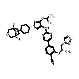 CC(C)Oc1nn([C@H]2CC[C@H](N3[C@@H]4CC[C@H]3COC4)CC2)cc1Nc1ncc(-c2ccc(C#N)c(O[C@@H](C)Cn3cnnn3)c2)cn1